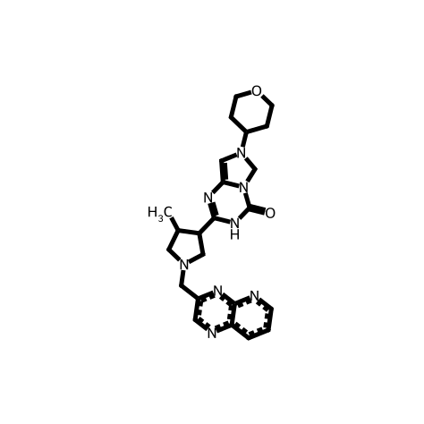 CC1CN(Cc2cnc3cccnc3n2)CC1C1=NC2=CN(C3CCOCC3)CN2C(=O)N1